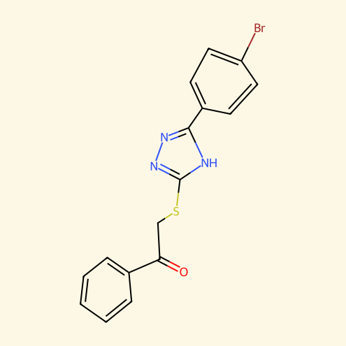 O=C(CSc1nnc(-c2ccc(Br)cc2)[nH]1)c1ccccc1